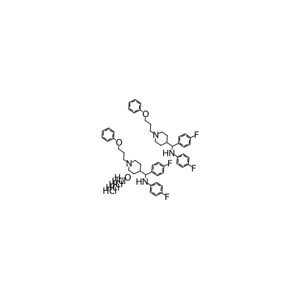 Cl.Cl.Cl.Cl.Fc1ccc(NC(c2ccc(F)cc2)C2CCN(CCCOc3ccccc3)CC2)cc1.Fc1ccc(NC(c2ccc(F)cc2)C2CCN(CCCOc3ccccc3)CC2)cc1.O